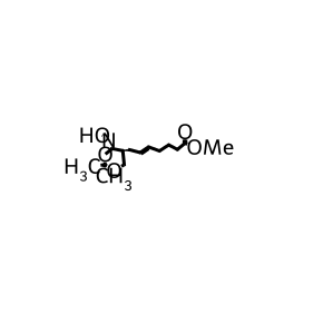 COC(=O)CCCC=CC[C@H]1COC(C)(C)OC1=NO